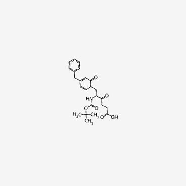 CC(C)(C)OC(=O)N[C@@H](CC1C=CC(Cc2ccccc2)=CC1=O)C(=O)CCC(=O)O